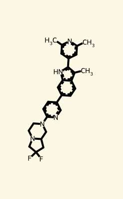 Cc1cc(-c2[nH]c3cc(-c4ccc(N5CCN6CC(F)(F)CC6C5)nc4)ccc3c2C)cc(C)n1